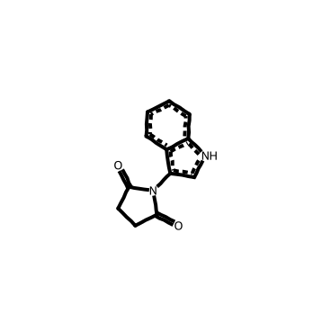 O=C1CCC(=O)N1c1c[nH]c2ccccc12